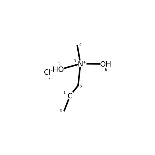 CCC[N+](C)(O)O.[Cl-]